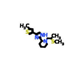 CSC(C)CN1CCCCC1c1nc(-c2csc(C)c2)c[nH]1